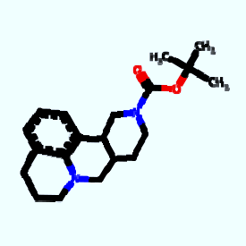 CC(C)(C)OC(=O)N1CCC2CN3CCCc4cccc(c43)C2C1